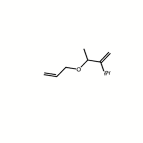 C=CCOC(C)C(=C)C(C)C